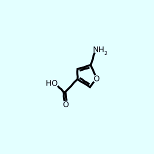 Nc1cc(C(=O)O)co1